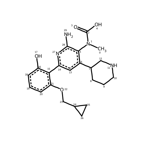 CN(C(=O)O)c1c(C2CCCNC2)cc(-c2c(O)cccc2OCC2CC2)nc1N